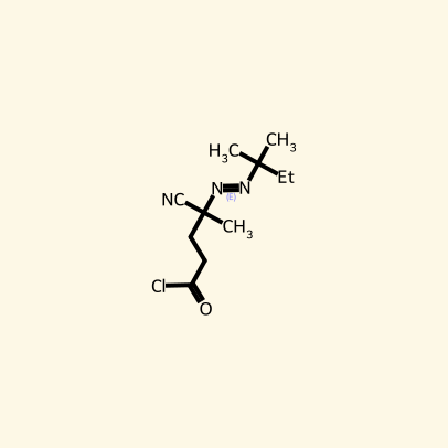 CCC(C)(C)/N=N/C(C)(C#N)CCC(=O)Cl